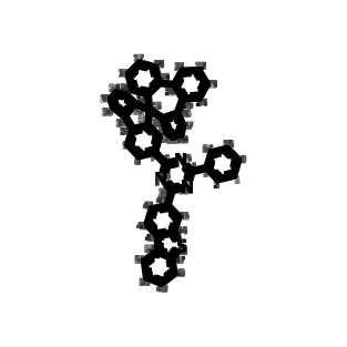 c1ccc(-c2nc(-c3ccc4c(c3)C3(c5ccccc5-c5ccccc5-c5ccccc53)c3ccccc3-4)nc(-c3ccc4c(c3)sc3ccccc34)n2)cc1